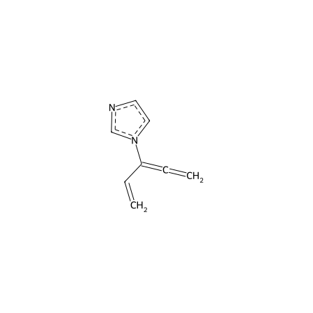 C=C=C(C=C)n1ccnc1